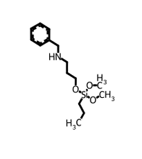 CCC[Si](OC)(OC)OCCCNCc1ccccc1